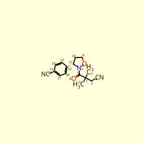 CC(C)(CC#N)C(=O)N1OCC[C@H]1c1ccc(C#N)cc1